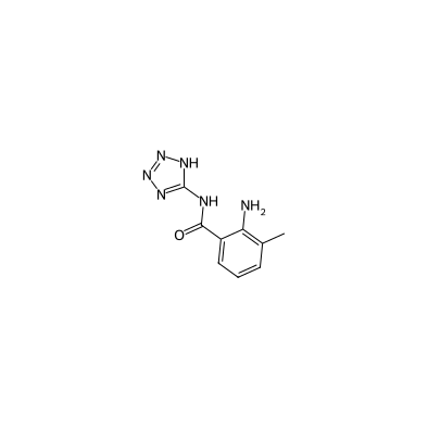 Cc1cccc(C(=O)Nc2nnn[nH]2)c1N